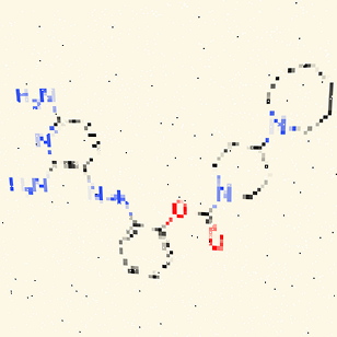 Nc1ccc(/N=N/c2ccccc2OC(=O)N2CCC(N3CCCCCC3)CC2)c(N)n1